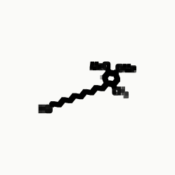 COC1=C(OC)CC(C)=C(CCCCCCCCCCO)[CH]1